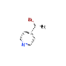 CCC(Br)c1ccncc1